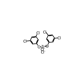 Clc1cc(Cl)cc([O][Zr+2][O]c2cc(Cl)cc(Cl)c2)c1.[Cl-].[Cl-]